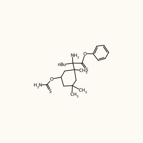 CCCCC(N)(C(=S)Oc1ccccc1)C1(C)CC(OC(N)=S)CC(C)(C)C1